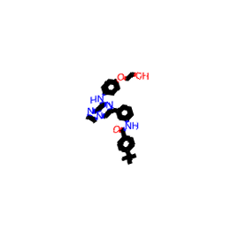 CC(C)(C)c1ccc(C(=O)Nc2cccc(-c3cn4ccnc4c(Nc4ccc(OCCO)cc4)n3)c2)cc1